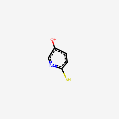 Oc1ccc(S)nc1